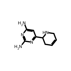 Nc1cc(C2CC=CCN2)nc(N)n1